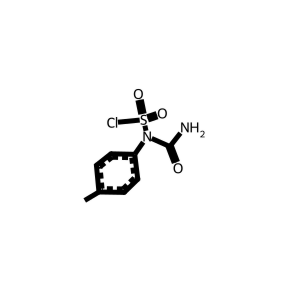 Cc1ccc(N(C(N)=O)S(=O)(=O)Cl)cc1